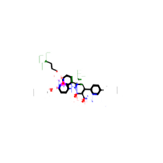 COc1ccc(N2C(=O)C(C(N)=O)=C(c3ccc(C)cc3)C[C@]2(c2ccc(OCCCC(F)(F)F)cc2)C(F)(F)F)cn1